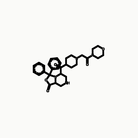 O=C1OC(c2ccccc2)(c2ccccc2)N2C1CNCC2C(=O)C1CCN(CC(=O)N2CCOCC2)CC1